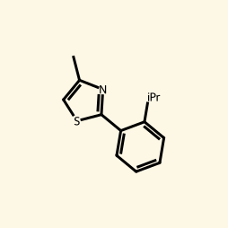 Cc1csc(-c2ccccc2C(C)C)n1